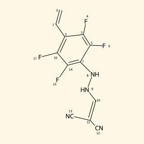 C=Cc1c(F)c(F)c(NNC=C(C#N)C#N)c(F)c1F